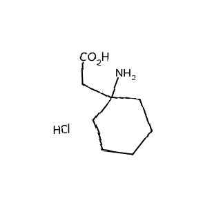 Cl.NC1(CC(=O)O)CCCCC1